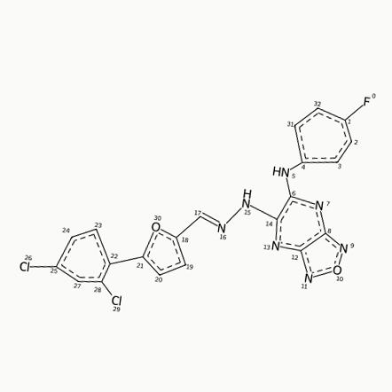 Fc1ccc(Nc2nc3nonc3nc2NN=Cc2ccc(-c3ccc(Cl)cc3Cl)o2)cc1